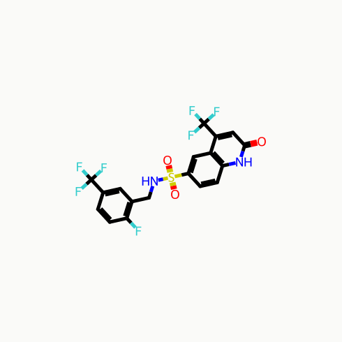 O=c1cc(C(F)(F)F)c2cc(S(=O)(=O)NCc3cc(C(F)(F)F)ccc3F)ccc2[nH]1